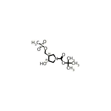 CC(C)(C)OC(=O)N1C[C@H](COS(C)(=O)=O)[C@@H](O)C1